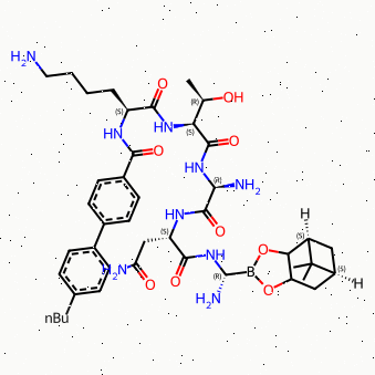 CCCCc1ccc(-c2ccc(C(=O)N[C@@H](CCCCN)C(=O)N[C@H](C(=O)N[C@@H](N)C(=O)N[C@@H](CC(N)=O)C(=O)N[C@@H](N)B3OC4C[C@@H]5C[C@H](C4O3)C5(C)C)[C@@H](C)O)cc2)cc1